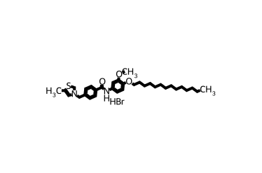 Br.CCCCCCCCCCCCCCOc1ccc(NC(=O)c2ccc(CN3C=C(C)SC3)cc2)cc1OC